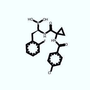 O=C(NC1(C(=O)N[C@@H](Cc2ccccc2F)B(O)O)CC1)c1ccc(Cl)cc1